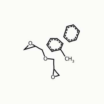 C(OCC1CO1)C1CO1.Cc1ccccc1.c1ccccc1